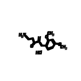 COc1ccc(CNC(=O)CCN)c(OC)c1.Cl